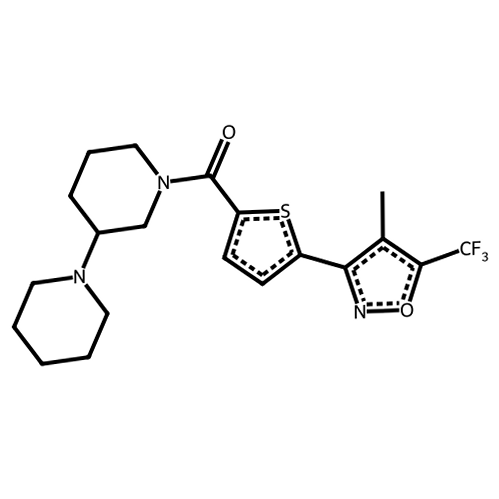 Cc1c(-c2ccc(C(=O)N3CCCC(N4CCCCC4)C3)s2)noc1C(F)(F)F